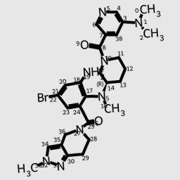 CN(C)c1cncc(C(=O)N2CCC[C@@H](N(C)c3c(N)cc(Br)cc3C(=O)N3CCc4nn(C)cc4C3)C2)c1